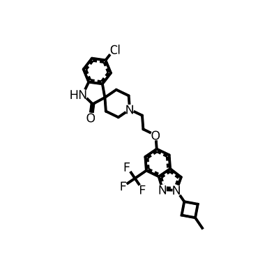 CC1CC(n2cc3cc(OCCN4CCC5(CC4)C(=O)Nc4ccc(Cl)cc45)cc(C(F)(F)F)c3n2)C1